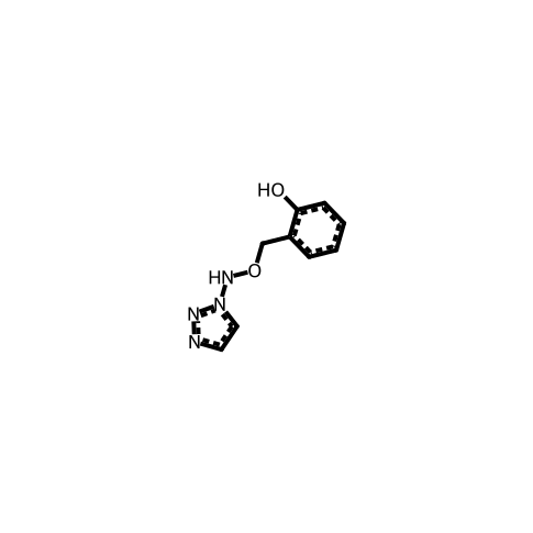 Oc1ccccc1CONn1ccnn1